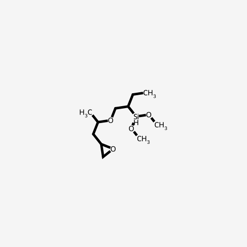 CCC(COC(C)CC1CO1)[SiH](OC)OC